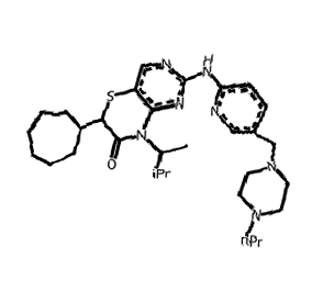 CCCN1CCN(Cc2ccc(Nc3ncc4c(n3)N(C(C)C(C)C)C(=O)C(C3CCCCCC3)S4)nc2)CC1